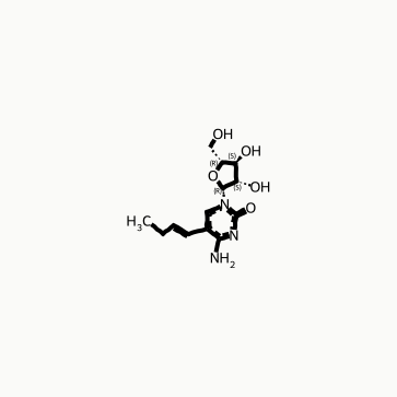 CCC=Cc1cn([C@@H]2O[C@H](CO)[C@@H](O)[C@@H]2O)c(=O)nc1N